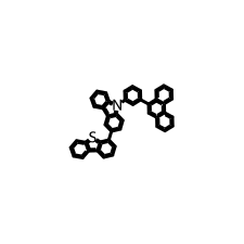 c1cc(-c2cc3ccccc3c3ccccc23)cc(-n2c3ccccc3c3cc(-c4cccc5c4sc4ccccc45)ccc32)c1